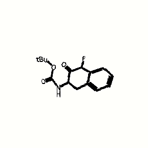 CC(C)(C)OC(=O)NC1Cc2ccccc2C(F)C1=O